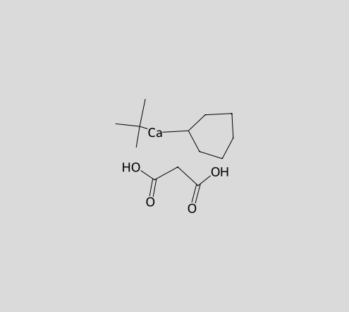 C[C](C)(C)[Ca][CH]1CCCCC1.O=C(O)CC(=O)O